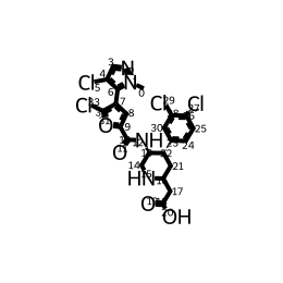 Cn1ncc(Cl)c1-c1cc(C(=O)N[C@@H]2CNC(CC(=O)O)C[C@H]2c2ccc(Cl)c(Cl)c2)oc1Cl